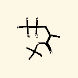 CC(CC(F)(Cl)C(F)(F)Br)C(=O)OC(C)(C)C